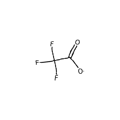 [O]C(=O)C(F)(F)F